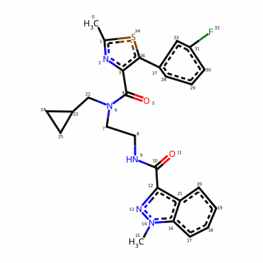 Cc1nc(C(=O)N(CCNC(=O)c2nn(C)c3ccccc23)CC2CC2)c(-c2cccc(F)c2)s1